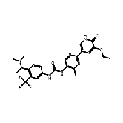 CCOc1cc(-c2ncc(NC(=O)Nc3ccc(C(C)N(C)C)c(C(F)(F)F)c3)c(C)n2)c[nH]c1=O